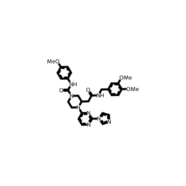 COc1ccc(NC(=O)N2CCN(c3ccnc(-n4ccnc4)n3)C(CC(=O)NCc3ccc(OC)c(OC)c3)C2)cc1